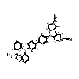 CC1(C)c2ccccc2N(c2ccc(-c3ccc(-n4c5ccc(C#N)cc5c5cc(C#N)ccc54)cc3)cc2)c2ccccc21